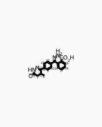 CC1CC(=O)NN=C1c1ccc(C(=NN)c2ccccc2C(=O)O)cc1